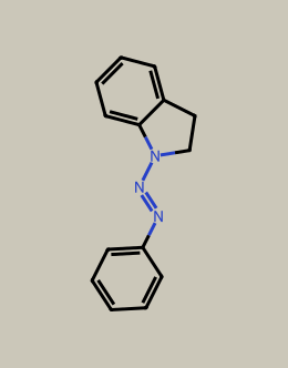 c1ccc(N=NN2CCc3ccccc32)cc1